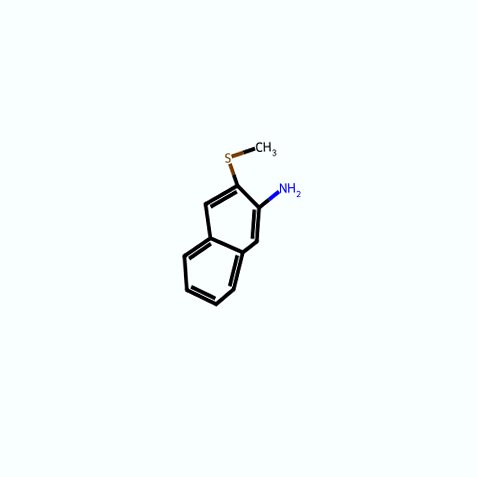 CSc1cc2ccccc2cc1N